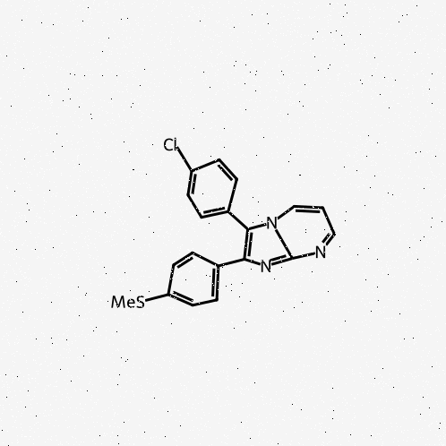 CSc1ccc(-c2nc3ncccn3c2-c2ccc(Cl)cc2)cc1